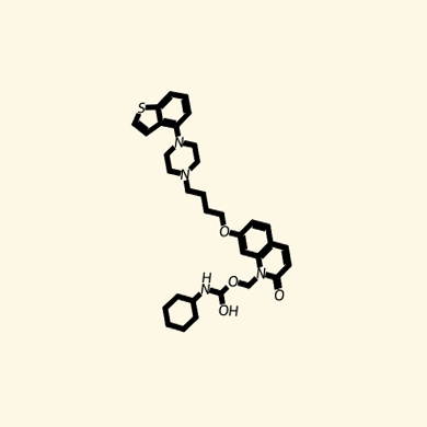 O=c1ccc2ccc(OCCCCN3CCN(c4cccc5sccc45)CC3)cc2n1COC(O)NC1CCCCC1